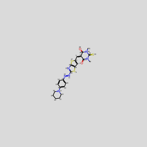 CN1C(=O)C(=Cc2cc3sc(/N=N/c4ccc(N5CCCCC5)cc4)nc3s2)C(=O)N(C)C1=S